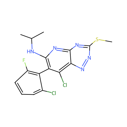 CSc1nnc2c(Cl)c(-c3c(F)cccc3Cl)c(NC(C)C)nc2n1